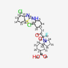 O=C(Cc1ccc(Nc2nc3c(Cl)cccc3s2)c(Cl)c1)C(F)(O[C@H]1CC[C@H](C(=O)O)CC1)N1CCCC1